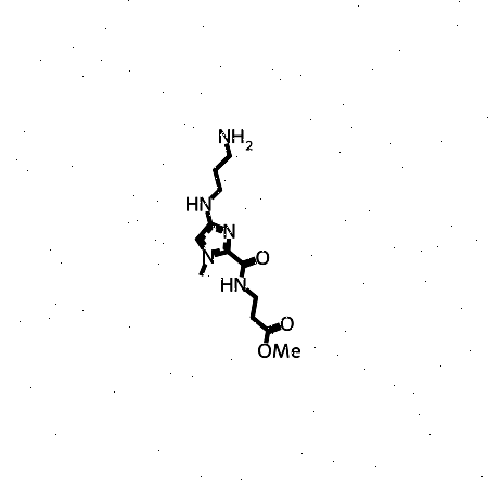 COC(=O)CCNC(=O)c1nc(NCCCN)cn1C